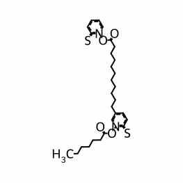 CCCCCCC(=O)On1cc(CCCCCCCCCCC(=O)On2ccccc2=S)ccc1=S